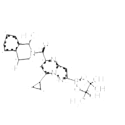 CC1c2ccccc2C(F)CN1C(=O)c1cc(C2CC2)n2nc(B3OC(C)(C)C(C)(C)O3)cc2n1